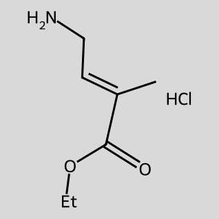 CCOC(=O)C(C)=CCN.Cl